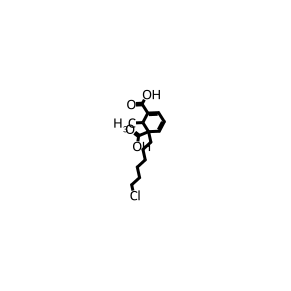 CC1C(C(=O)O)=CC=CC1(CCCCCCCl)C(=O)O